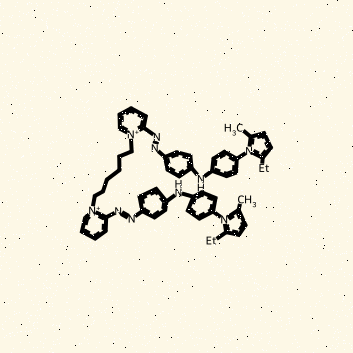 CCc1ccc(C)n1-c1ccc(Nc2ccc(N=Nc3cccc[n+]3CCCCCC[n+]3ccccc3/N=N/c3ccc(Nc4ccc(-n5c(C)ccc5CC)cc4)cc3)cc2)cc1